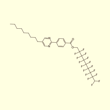 CCCCCCCCCc1cnc(-c2ccc(C(=O)OCC(F)(F)C(F)(F)C(F)(F)C(F)(F)C(F)(F)C(F)(F)C(F)(F)C(F)F)cc2)nc1